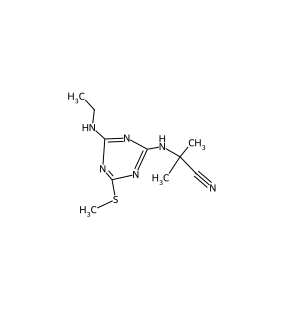 CCNc1nc(NC(C)(C)C#N)nc(SC)n1